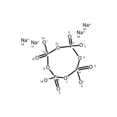 O=P1([O-])OP(=O)([O-])OP(=O)([O-])OP(=O)([O-])O1.[Na+].[Na+].[Na+].[Na+]